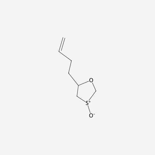 C=CCCC1C[S+]([O-])CO1